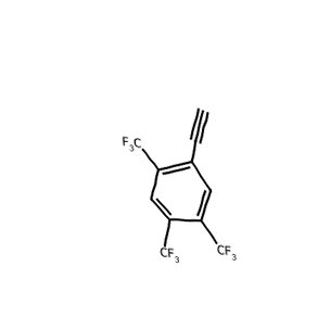 C#Cc1cc(C(F)(F)F)c(C(F)(F)F)cc1C(F)(F)F